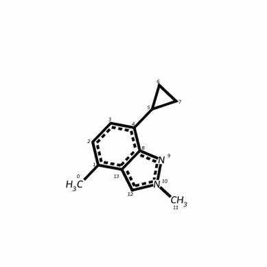 Cc1ccc(C2CC2)c2nn(C)cc12